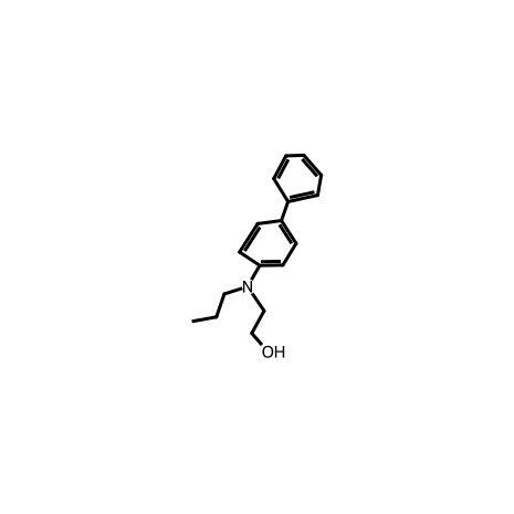 CCCN(CCO)c1ccc(-c2ccccc2)cc1